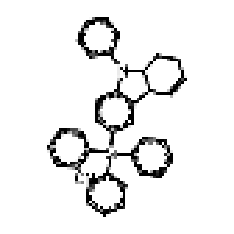 N#Cc1ccccc1[Si](c1ccccc1)(c1ccccc1)c1ccc2c(c1)C1C=CCCC1N2c1ccccc1